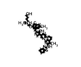 Cc1c(Nc2nc3ccccc3s2)nnc2c1CCCN2c1ccc(-c2cnn(CC34CC5(C)CC(C)(C3)CC(OCCN(C)CCCCO)(C5)C4)c2C)cn1